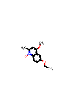 CCOc1ccc2c(c1)c(OC)cc(C)[n+]2[O-]